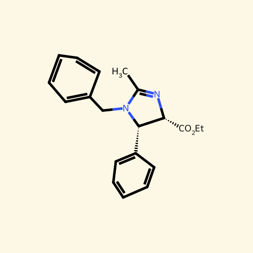 CCOC(=O)[C@H]1N=C(C)N(Cc2ccccc2)[C@H]1c1ccccc1